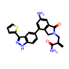 C=C(CN1Cc2c(cc(N)cc2-c2ccc3[nH]nc(-c4cccs4)c3c2)C1=O)C(N)=O